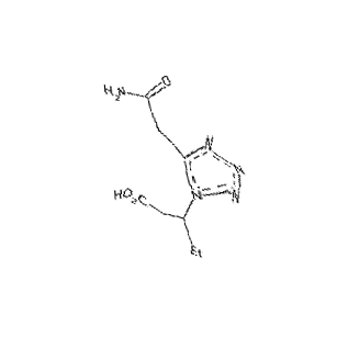 CCC(C(=O)O)n1nnnc1CC(N)=O